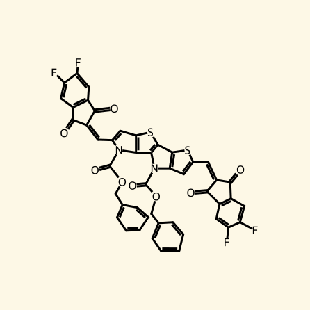 O=C1C(=Cc2cc3c(s2)c2sc4cc(C=C5C(=O)c6cc(F)c(F)cc6C5=O)n(C(=O)OCc5ccccc5)c4c2n3C(=O)OCc2ccccc2)C(=O)c2cc(F)c(F)cc21